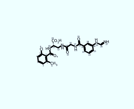 Cc1cccc(Cl)c1C(=O)N[C@@H](CNC(=O)CNC(=O)c1cccc(NC=N)c1)C(=O)O